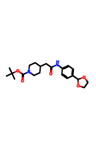 CC(C)(C)OC(=O)N1CCC(CC(=O)Nc2ccc(C3OCCO3)cc2)CC1